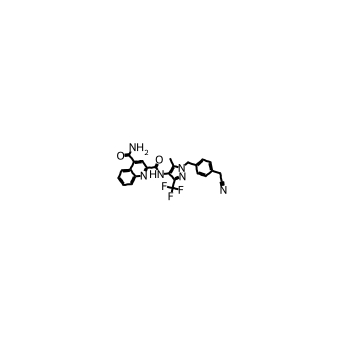 Cc1c(NC(=O)c2cc(C(N)=O)c3ccccc3n2)c(C(F)(F)F)nn1Cc1ccc(CC#N)cc1